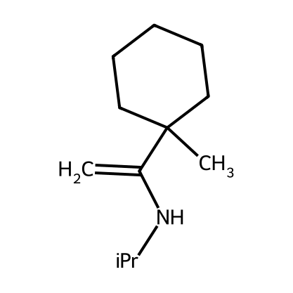 C=C(NC(C)C)C1(C)CCCCC1